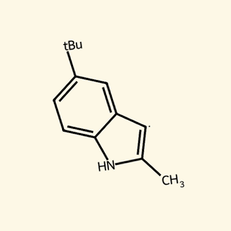 Cc1[c]c2cc(C(C)(C)C)ccc2[nH]1